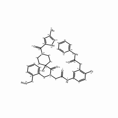 CCc1ccc(NC(=O)CN(Cc2ccccc2CNC)C(=O)C2(CC)CCN(C(=O)c3cc(C(C)(C)C)n[nH]3)CC2)cc1CC(=O)Nc1ccccn1